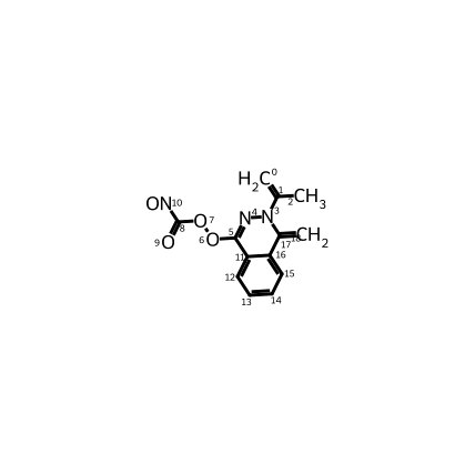 C=C(C)N1N=C(OOC(=O)N=O)c2ccccc2C1=C